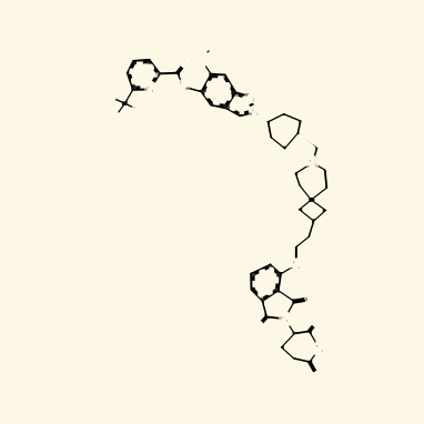 COc1cc2nn([C@H]3CC[C@H](CN4CCC5(CC4)CC(CCNc4cccc6c4C(=O)N(C4CCC(=O)NC4=O)C6=O)C5)CC3)cc2cc1NC(=O)c1cccc(C(C)(C)F)n1